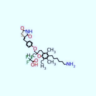 Cc1c(C)c2c(c(C)c1CCCCCCN)CCC(C)(COc1ccc(/C=C3/SC(=O)NC3=O)cc1)O2.O=C(O)C(F)(F)F